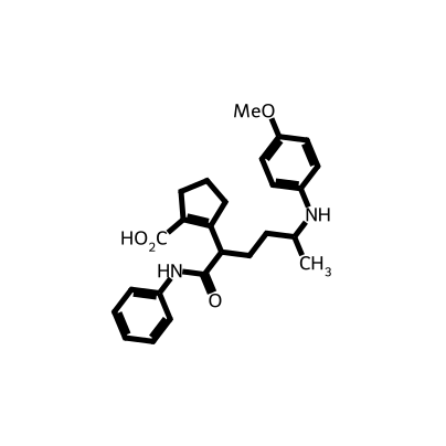 COc1ccc(NC(C)CCC(C(=O)Nc2ccccc2)C2=C(C(=O)O)CCC2)cc1